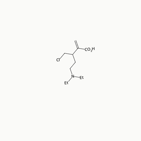 C=C(C(=O)O)C(CCl)CCN(CC)CC